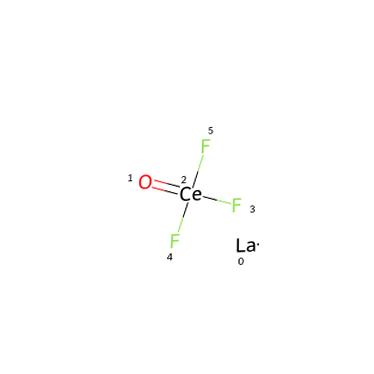 [La].[O]=[Ce]([F])([F])[F]